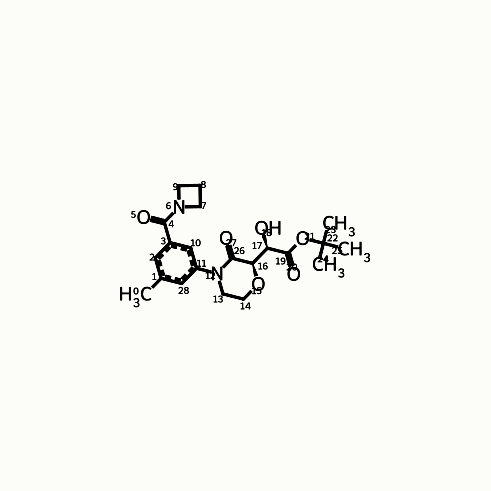 Cc1cc(C(=O)N2CCC2)cc(N2CCO[C@H]([C@@H](O)C(=O)OC(C)(C)C)C2=O)c1